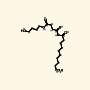 O=C(O)CCCCCCCCC(=O)OC(=O)CCC(=O)OCCCCO